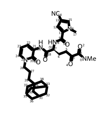 CNC(=O)C(=O)CC[C@H](NC(=O)c1cc(C#N)cn1C)C(=O)Nc1cccn(CCCC23CC4CC(CC(C4)C2)C3)c1=O